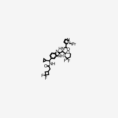 CC(C)n1nccc1C(=O)N[C@H](c1nc2ccc(C(NC(=O)CC3CC(F)(F)C3)C3CC3)cc2[nH]1)[C@@H]1CC(F)(F)CCO1